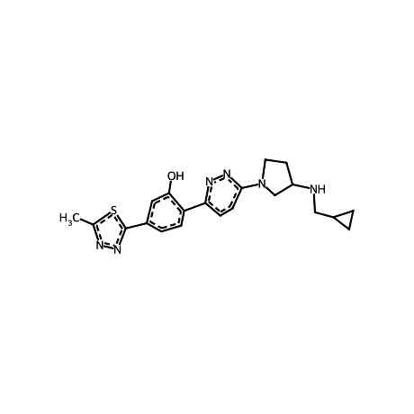 Cc1nnc(-c2ccc(-c3ccc(N4CCC(NCC5CC5)C4)nn3)c(O)c2)s1